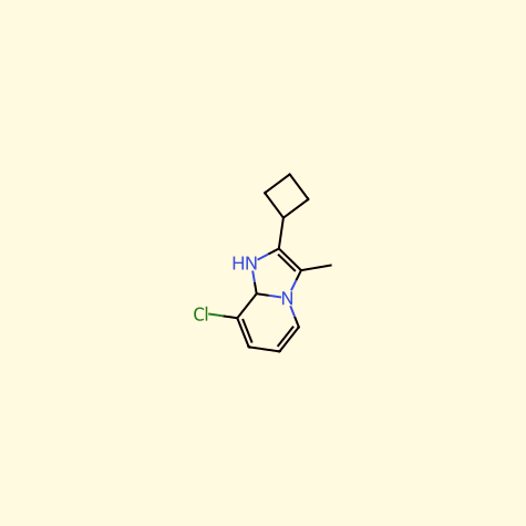 CC1=C(C2CCC2)NC2C(Cl)=CC=CN12